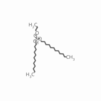 C=CCOO[SiH](OCCCCCCCCCCCC)OCCCCCCCCCCCC